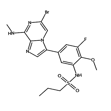 CCCS(=O)(=O)Nc1cc(-c2cnc3c(NC)nc(Br)cn23)cc(F)c1OC